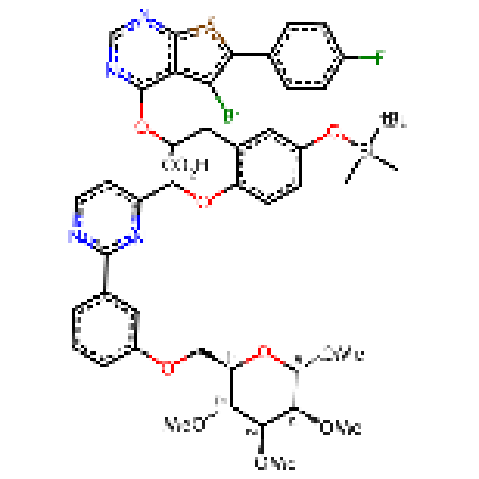 CO[C@H]1O[C@H](COc2cccc(-c3nccc(COc4ccc(O[Si](C)(C)C(C)(C)C)cc4CC(Oc4ncnc5sc(-c6ccc(F)cc6)c(Br)c45)C(=O)O)n3)c2)[C@@H](OC)[C@H](OC)[C@@H]1OC